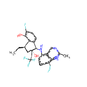 CC[C@@H]1C[C@](O)(C(F)(F)F)C(Nc2ccc(F)c3nc(C)ncc23)c2ccc(F)c(O)c21